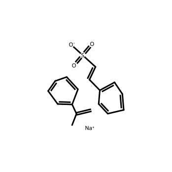 C=C(C)c1ccccc1.O=S(=O)([O-])C=Cc1ccccc1.[Na+]